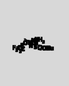 CC(C)COc1ccc(Sc2nc(N)nc3c2ncn3CC(C)OCP(CC(F)(F)F)CC(F)(F)F)cc1